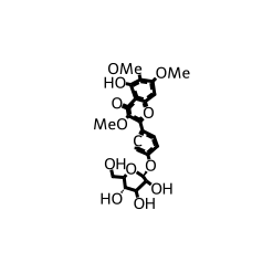 COc1cc2oc(-c3ccc(O[C@@H]4OC(CO)[C@@H](O)C(O)C4O)cc3)c(OC)c(=O)c2c(O)c1OC